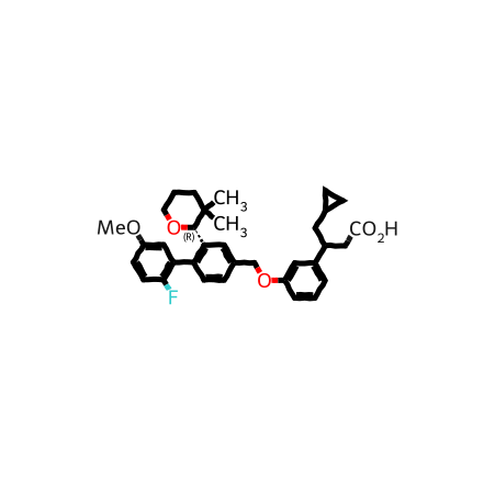 COc1ccc(F)c(-c2ccc(COc3cccc(C(CC(=O)O)CC4CC4)c3)cc2[C@@H]2OCCCC2(C)C)c1